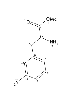 COC(=O)C(N)Cc1cccc(N)c1